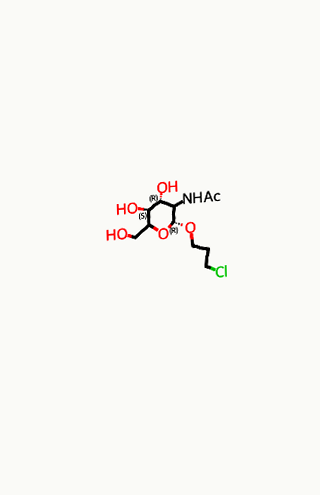 CC(=O)NC1[C@H](OCCCCl)OC(CO)[C@@H](O)[C@@H]1O